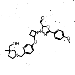 COc1ccc(C2=NN(N3CCC3Oc3ccc(CN4CCC(C)(CO)C4)cc3)C(C=O)O2)cc1